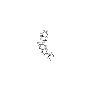 CCN(CC)c1ccc2oc(=O)c(C3=Nc4ccccc4C3)cc2c1